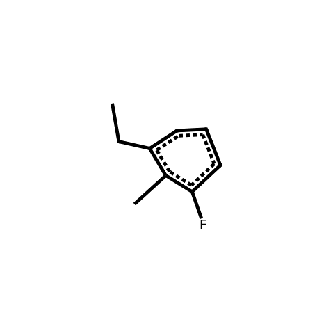 CCc1cccc(F)c1C